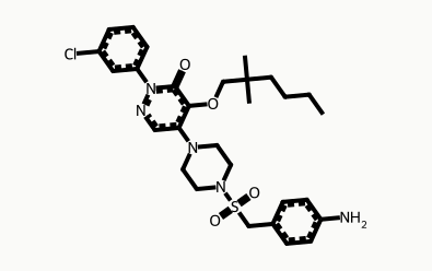 CCCCC(C)(C)COc1c(N2CCN(S(=O)(=O)Cc3ccc(N)cc3)CC2)cnn(-c2cccc(Cl)c2)c1=O